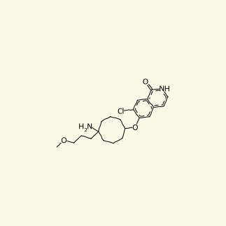 COCCCC1(N)CCCC(Oc2cc3cc[nH]c(=O)c3cc2Cl)CCC1